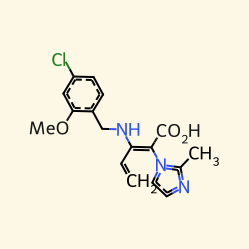 C=C/C(NCc1ccc(Cl)cc1OC)=C(/C(=O)O)n1ccnc1C